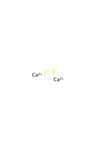 [Ca+2].[Ca+2].[S-2].[S-2]